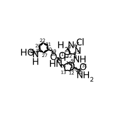 N/C=C(F)\C(=N/CCl)NC1C2CC(CC2NC(=O)OCc2cccc(NO)c2)C1C(N)=O